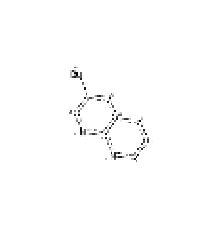 CCC(C)c1cnc2ncccc2c1